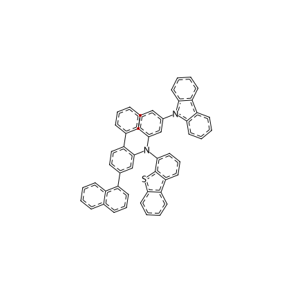 c1ccc(-c2ccc(-c3cccc4ccccc34)cc2N(c2cccc(-n3c4ccccc4c4ccccc43)c2)c2cccc3c2sc2ccccc23)cc1